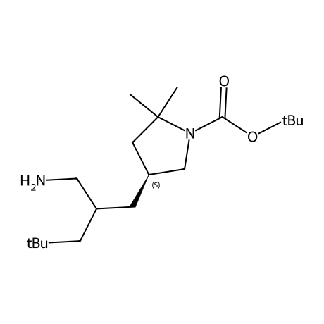 CC(C)(C)CC(CN)C[C@@H]1CN(C(=O)OC(C)(C)C)C(C)(C)C1